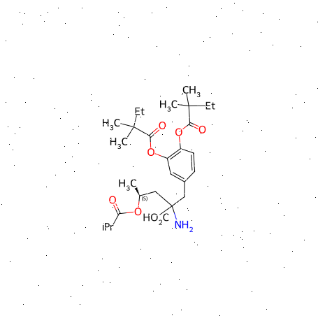 CCC(C)(C)C(=O)Oc1ccc(CC(N)(C[C@H](C)OC(=O)C(C)C)C(=O)O)cc1OC(=O)C(C)(C)CC